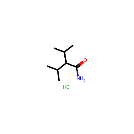 CC(C)C(C(N)=O)C(C)C.Cl